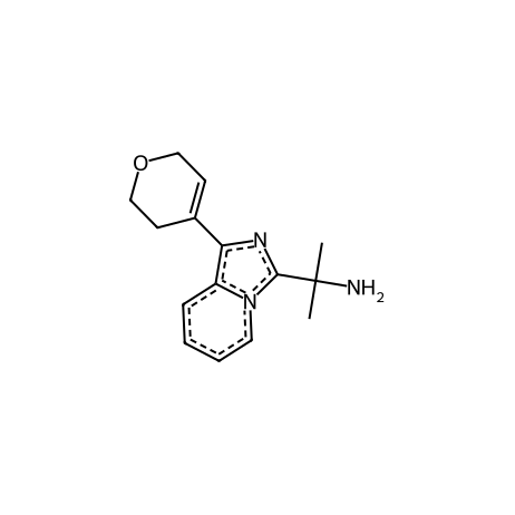 CC(C)(N)c1nc(C2=CCOCC2)c2ccccn12